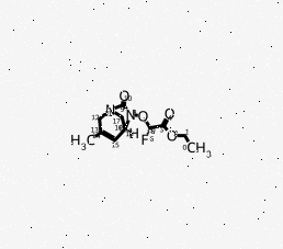 CCOC(=O)[C@H](F)ON1C(=O)N2CC(C)=C[C@H]1C2